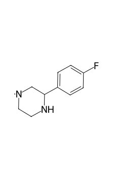 Fc1ccc(C2C[N]CCN2)cc1